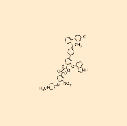 CC(c1ccccc1-c1ccc(Cl)cc1)N1CCN(c2ccc(C(=O)NS(=O)(=O)c3ccc(NC4CCN(C)CC4)c([N+](=O)[O-])c3)c(Oc3cccc4[nH]ccc34)c2)CC1